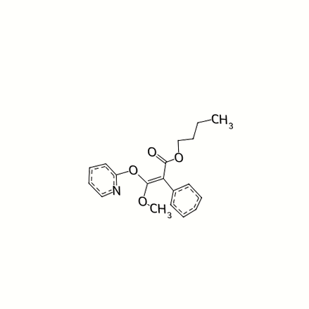 CCCCOC(=O)C(=C(OC)Oc1ccccn1)c1ccccc1